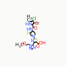 COCCn1ncnc1-c1nc(N2CC[C@@H](NC(=O)c3[nH]c(C)c(Cl)c3Br)[C@@H](F)C2)sc1C(=O)O